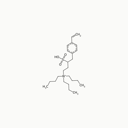 C=Cc1ccc(CC(CC[N+](CCCC)(CCCC)CCCC)S(=O)(=O)O)cc1